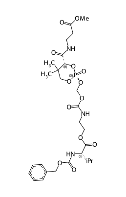 COC(=O)CCNC(=O)[C@@H]1O[P@@](=O)(OCOC(=O)NCCOC(=O)[C@@H](NC(=O)OCc2ccccc2)C(C)C)OCC1(C)C